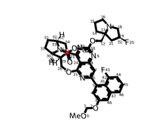 COCOc1cc(-c2cc3nc(OC[C@@]45CCCN4C[C@@H](F)C5)nc4c3c(n2)OC[C@H]2[C@H]3CC[C@@H](CN42)N3C(=O)OC(C)(C)C)c2c(F)cccc2c1